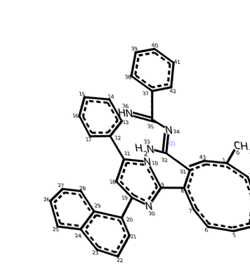 Cc1ccccccc(-c2nc(-c3ccccc3)cc(-c3cccc4ccccc34)n2)c(/C(N)=N/C(=N)c2ccccc2)c1